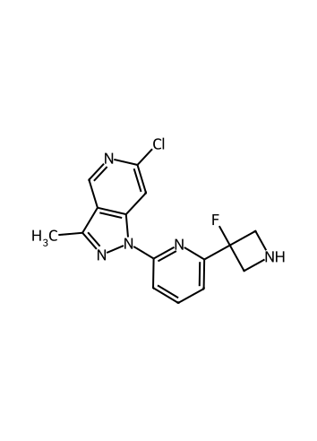 Cc1nn(-c2cccc(C3(F)CNC3)n2)c2cc(Cl)ncc12